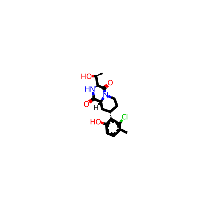 Cc1ccc(O)c([C@H]2CCN3C(=O)[C@@H]([C@H](C)O)NC(=O)[C@H]3C2)c1Cl